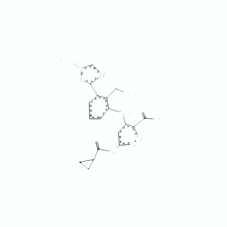 CC(=O)c1nnc(NC(=O)C2CC2)cc1Nc1cccc(-c2ncn(C)n2)c1CO